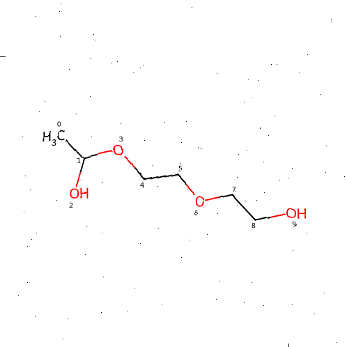 CC(O)OCCOCCO